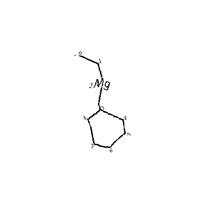 [CH2][CH2][Mg][CH]1CCCCC1